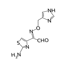 Nc1nc(C(C=O)=NOCc2c[nH]cn2)cs1